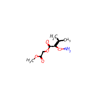 COC(=O)COC(=O)C(ON)=C(C)C